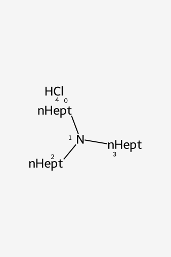 CCCCCCCN(CCCCCCC)CCCCCCC.Cl